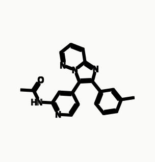 CC(=O)Nc1cc(-c2c(-c3cccc(C)c3)nc3cccnn23)ccn1